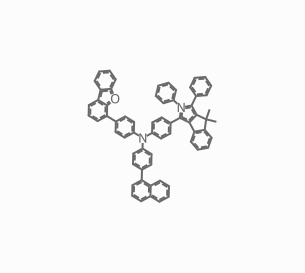 CC1(C)c2ccccc2-c2c1c(-c1ccccc1)n(-c1ccccc1)c2-c1ccc(N(c2ccc(-c3cccc4ccccc34)cc2)c2ccc(-c3cccc4c3oc3ccccc34)cc2)cc1